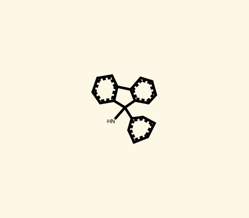 [NH]C1(c2ccccc2)c2ccccc2-c2ccccc21